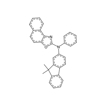 CC1(C)c2ccccc2-c2ccc(N(c3ccccc3)c3nc4c(ccc5ccccc54)o3)cc21